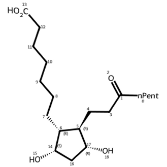 CCCCCC(=O)CC[C@@H]1[C@@H](CCCCCCC(=O)O)[C@@H](O)C[C@H]1O